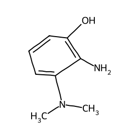 CN(C)c1cccc(O)c1N